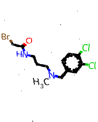 CN(CCCNC(=O)CBr)Cc1ccc(Cl)c(Cl)c1